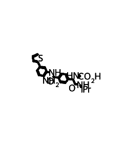 CC(C)NC(=O)C(NC(=O)O)c1ccc(C(=O)Nc2cc(-c3cccs3)ccc2N)cc1